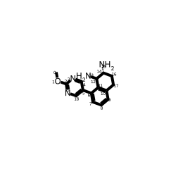 COc1ncc(-c2cccc3c2C(N)[C@H](N)CC3)cn1